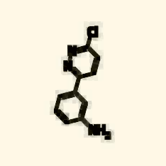 Nc1cccc(-c2ccc(Cl)nn2)c1